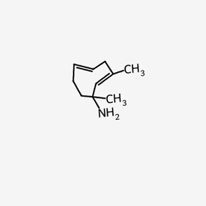 C/C1=C\C(C)(N)CC/C=C/C1